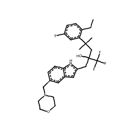 CCc1ccc(F)cc1C(C)(C)CC(O)(Cc1cc2cc(CN3CCOCC3)ccc2[nH]1)C(F)(F)F